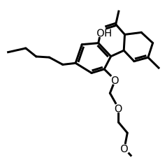 C=C(C)C1CCC(C)=CC1c1c(O)cc(CCCCC)cc1OCOCCOC